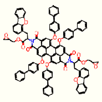 O=C(OCC1CO1)C(Cc1cccc2c1oc1ccccc12)N1C(=O)c2cc(Oc3ccc(-c4ccccc4)cc3)c3c4c(Oc5ccc(-c6ccccc6)cc5)cc5c6c(cc(Oc7ccc(-c8ccccc8)cc7)c(c7c(Oc8ccc(-c9ccccc9)cc8)cc(c2c37)C1=O)c64)C(=O)N(C(Cc1cccc2c1oc1ccccc12)C(=O)OCC1CO1)C5=O